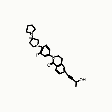 CC(O)C#Cc1ccc2c(c1)CCN(c1ccc(N3CC[C@@H](N4CCCC4)C3)c(F)c1)C2=O